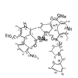 CCOC(=O)C1=C(C)NC(C)=C(C(=O)OC)C1c1cccc([N+](=O)[O-])c1.COC(=O)C1=C(C)NC(C)=C(C(=O)O[C@@H]2CCCN(Cc3ccccc3)C2)[C@@H]1c1cccc([N+](=O)[O-])c1